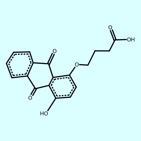 O=C(O)CCCOc1ccc(O)c2c1C(=O)c1ccccc1C2=O